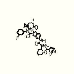 Cn1nccc1C(=O)N[C@H](C(=O)Nc1ccc2c(c1)CC(C(=O)Nc1cccc(F)c1)(N1CC3(CC3)CNC1=O)C2)C1CCCCC1